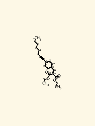 CCCCCCC#Cc1ccc(C=C(C(=O)OCC)C(=O)OCC)cc1